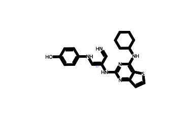 N=C/C(=C\Nc1ccc(O)cc1)Nc1nc(NC2CCCCC2)c2sccc2n1